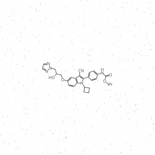 CC(C)OC(=O)Nc1ccc(-c2c(C#N)c3cc(OCC(O)Cn4nccn4)ccc3n2C2CCC2)cc1